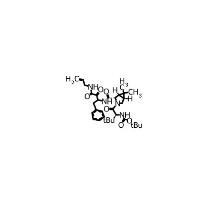 C=CCNC(=O)C(=O)C(Cc1ccccc1)NC(=O)[C@@H]1[C@H]2[C@@H](CN1C(=O)[C@@H](NC(=O)OC(C)(C)C)C(C)(C)C)C2(C)C